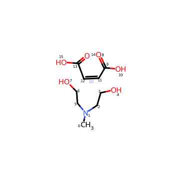 CN(CCO)CCO.O=C(O)/C=C\C(=O)O